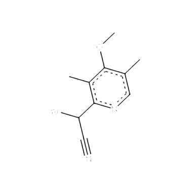 COc1c(C)cnc(C(Br)C#N)c1C